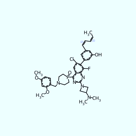 C/C=C\C=C/c1cc(O)cc(-c2c(Cl)cc3c(P4(=O)CCN(Cc5ccc(OC)cc5OC)CC4)nc(N4CC(N(C)C)C4)nc3c2F)c1